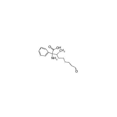 CC(CCCCCC=O)C(N)(C(=O)O)c1ccccc1